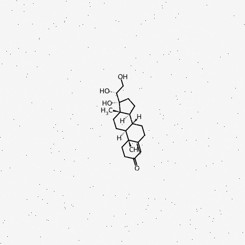 C[C@]12CCC(=O)C=C1CC[C@@H]1[C@@H]2CC[C@@]2(C)[C@H]1CC[C@]2(O)[C@H](O)CO